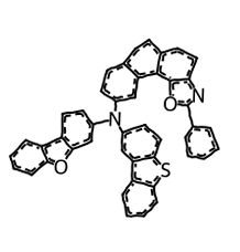 c1ccc(-c2nc3ccc4ccc5ccc(N(c6ccc7c(c6)oc6ccccc67)c6ccc7sc8ccccc8c7c6)cc5c4c3o2)cc1